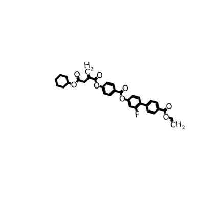 C=COC(=O)c1ccc(-c2ccc(OC(=O)c3ccc(OC(=O)C(=C)CC(=O)OC4CCCCC4)cc3)cc2F)cc1